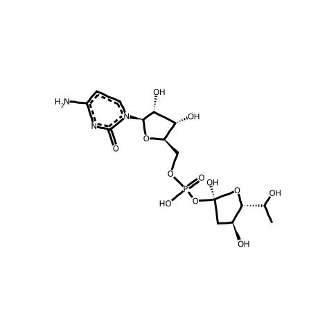 CC(O)[C@H]1O[C@](O)(OP(=O)(O)OC[C@H]2O[C@@H](n3ccc(N)nc3=O)[C@H](O)[C@@H]2O)C[C@@H]1O